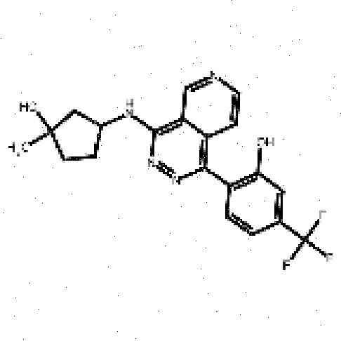 CC1(O)CCC(Nc2nnc(-c3ccc(C(F)(F)F)cc3O)c3ccncc23)C1